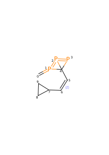 C=P1=P2=PC12/C=C\C1CC1